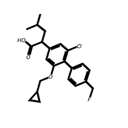 CC(C)CC(C(=O)O)c1cc(Cl)c(-c2ccc(CF)cc2)c(OCC2CC2)c1